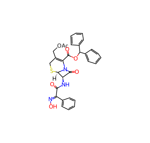 CC(=O)OCC1=C(C(=O)OC(c2ccccc2)c2ccccc2)N2C(=O)[C@@H](NC(=O)/C(=N/O)c3ccccc3)[C@H]2SC1